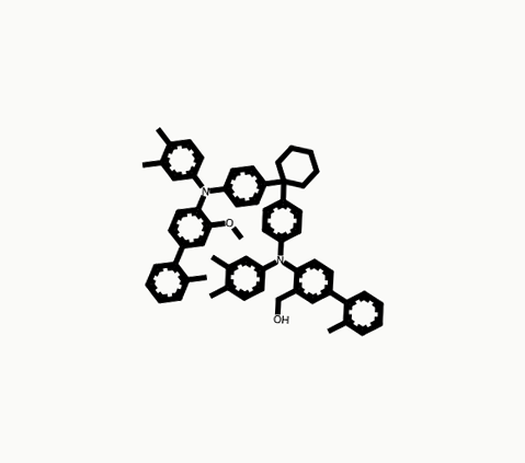 COc1cc(-c2ccccc2C)ccc1N(c1ccc(C2(c3ccc(N(c4ccc(C)c(C)c4)c4ccc(-c5ccccc5C)cc4CO)cc3)CCCCC2)cc1)c1ccc(C)c(C)c1